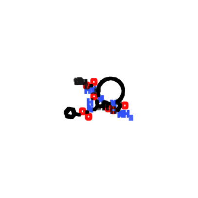 CC(C)(C)OC(=O)N[C@H]1CCCCCCCCCC[C@@H](C(=O)C(N)=O)NC(=O)[C@@H]2C[C@@H](CNC(=O)OCc3ccccc3)CN2C1=O